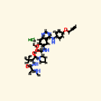 C#CCOc1ccc(Nc2ncnc3cc(OC)c(NC(=O)[C@@H]4CCCN4C(=O)[C@@H](NC(=O)[C@H](C)NC)C(C)(C)C)cc23)cc1.Cl